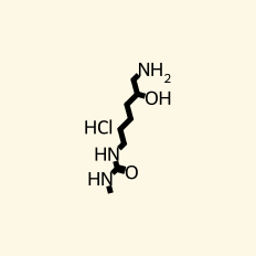 CNC(=O)NCCCCC(O)CN.Cl